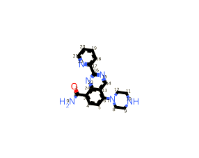 NC(=O)c1ccc(N2CCNCC2)c2cnc(-c3ccccn3)nc12